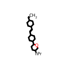 C=CC1CCC(/C=C/C2CCC(C3CCC(CCC)CO3)CC2)CC1